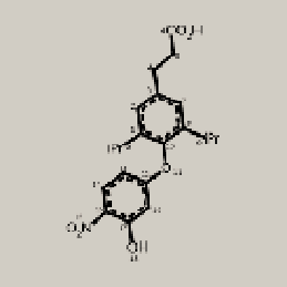 CC(C)c1cc(CCC(=O)O)cc(C(C)C)c1Oc1ccc([N+](=O)[O-])c(O)c1